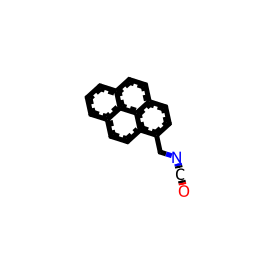 O=C=NCc1ccc2ccc3cccc4ccc1c2c34